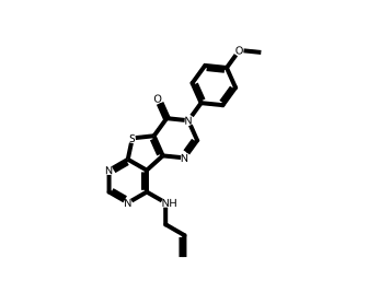 C=CCNc1ncnc2sc3c(=O)n(-c4ccc(OC)cc4)cnc3c12